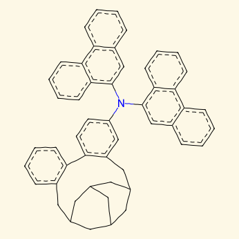 c1ccc2c(c1)CC1CC3CC(Cc4cc(N(c5cc6ccccc6c6ccccc56)c5cc6ccccc6c6ccccc56)ccc4-2)CC(C1)C3